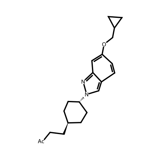 CC(=O)CC[C@H]1CC[C@H](n2cc3ccc(OCC4CC4)cc3n2)CC1